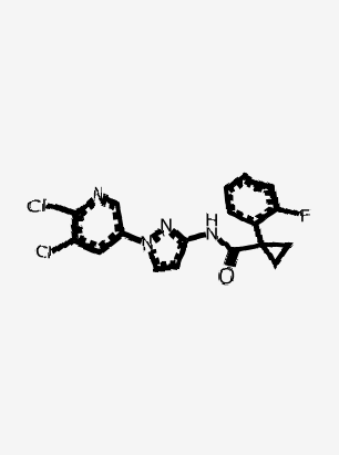 O=C(Nc1ccn(-c2cnc(Cl)c(Cl)c2)n1)C1(c2ccccc2F)CC1